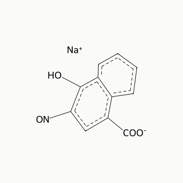 O=Nc1cc(C(=O)[O-])c2ccccc2c1O.[Na+]